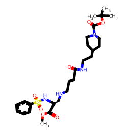 COC(=O)[C@H](CNCCCC(=O)NCCC1CCN(C(=O)OC(C)(C)C)CC1)NS(=O)(=O)c1ccccc1